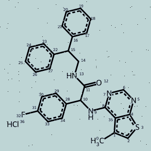 Cc1csc2ncnc(NC(C(=O)NCC(c3ccccc3)c3ccccc3)c3ccc(F)cc3)c12.Cl